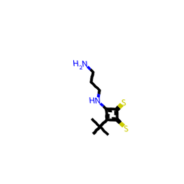 CC(C)(C)c1c(NCCCN)c(=S)c1=S